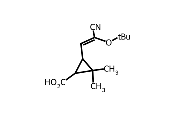 CC(C)(C)OC(C#N)=CC1C(C(=O)O)C1(C)C